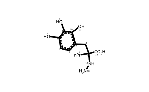 CCCC(Cc1ccc(O)c(O)c1O)(NN)C(=O)O